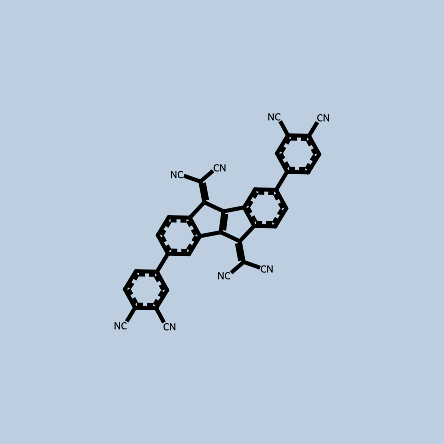 N#CC(C#N)=C1C2=C(C(=C(C#N)C#N)c3ccc(-c4ccc(C#N)c(C#N)c4)cc32)c2cc(-c3ccc(C#N)c(C#N)c3)ccc21